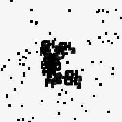 CC(C)c1cc(NC(=O)NS(=O)(=O)N(c2cnn(C)c2)C2CCCN(C)C2)c(C(F)(F)F)s1